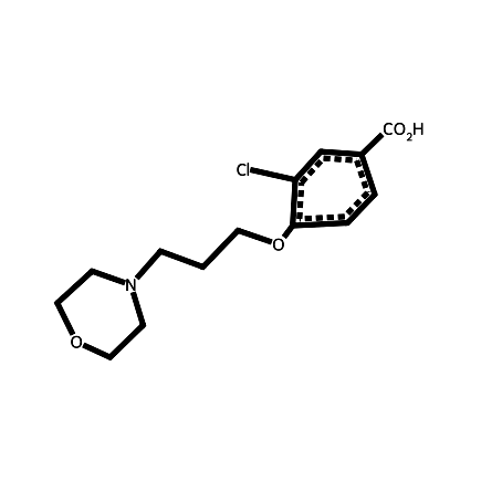 O=C(O)c1ccc(OCCCN2CCOCC2)c(Cl)c1